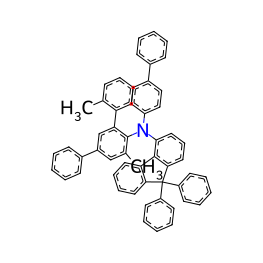 Cc1ccccc1-c1cc(-c2ccccc2)cc(C)c1N(c1ccc(-c2ccccc2)cc1)c1cccc2c1-c1ccccc1C2(c1ccccc1)c1ccccc1